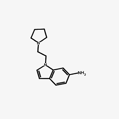 Nc1ccc2ccn(CCN3CCCC3)c2c1